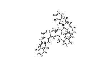 O=C(c1cccc2cc3ccc4cc5cc6ccccc6cc5cc4c3cc12)c1cccc2cc3ccc4cc5cc6ccccc6cc5cc4c3cc12